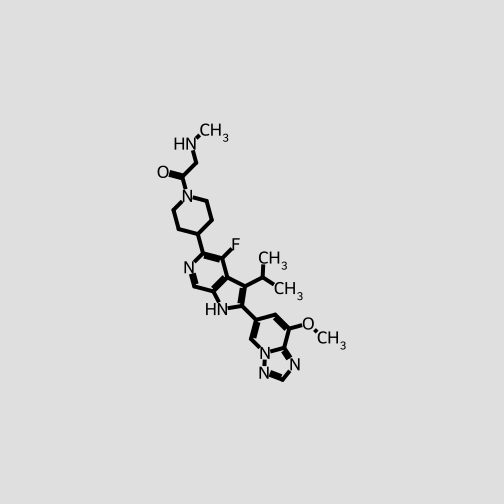 CNCC(=O)N1CCC(c2ncc3[nH]c(-c4cc(OC)c5ncnn5c4)c(C(C)C)c3c2F)CC1